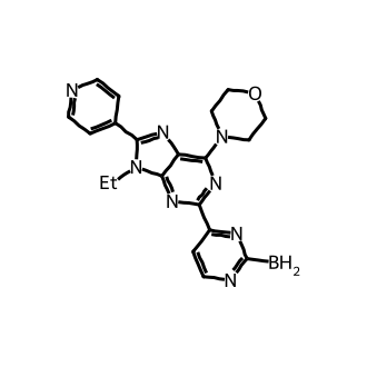 Bc1nccc(-c2nc(N3CCOCC3)c3nc(-c4ccncc4)n(CC)c3n2)n1